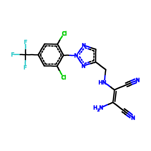 N#CC(N)=C(C#N)NCc1cnn(-c2c(Cl)cc(C(F)(F)F)cc2Cl)n1